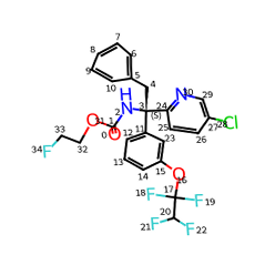 O=C(N[C@@](Cc1ccccc1)(c1cccc(OC(F)(F)C(F)F)c1)c1ccc(Cl)cn1)OCCF